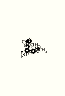 CS(=O)(=O)Nc1ccc2oc3c(OC(F)F)ccc(C(=O)[NH+]([O-])c4c(Cl)cncc4Cl)c3c2c1